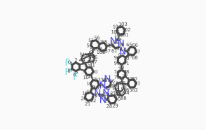 Fc1cc2c(c(F)c1F)-c1cc(-c3ccc4c(c3)c3ccccc3n4-c3nc4ccccc4n3-c3ccncn3)ccc1C21C2CC3CC1CC(C2)C3c1cccc2cc(-c3cc(-n4c5ccccc5c5cc(-c6ccc7c(c6)-c6ccccc6C76C7CC8CC(C7)CC6C8)ccc54)nc(-c4ccccc4)n3)ccc12